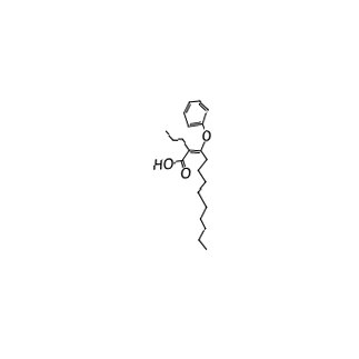 CCCCCCCCCC(Oc1ccccc1)=C(CCC)C(=O)O